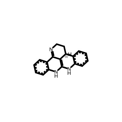 c1ccc2c(c1)NC1=C3C2=NCC[C@H]3c2ccccc2N1